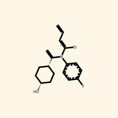 C=C/C=C(\CC)N(c1ccc(F)cc1)C(=C)[C@H]1CC[C@@H](O)CC1